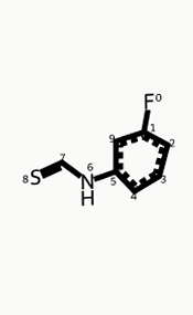 Fc1cccc(NC=S)c1